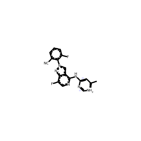 C=C(C)/C=C(\N=C/N)Nc1ncc(F)c2nn(-c3c(F)cccc3C#N)cc12